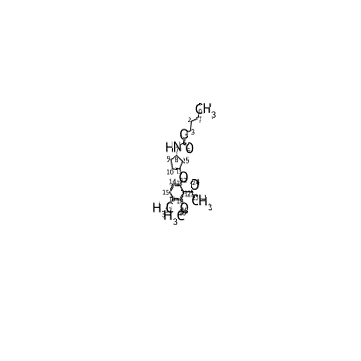 CCCCOC(=O)N[C@H]1CC[C@@H](Oc2ccc(C)c(OC)c2C(C)=O)C1